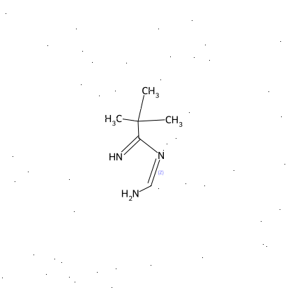 CC(C)(C)C(=N)/N=C\N